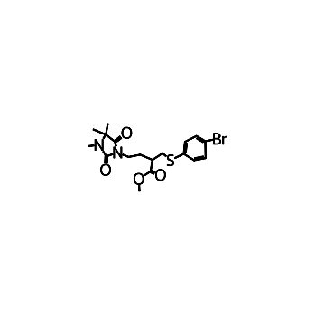 COC(=O)C(CCN1C(=O)N(C)C(C)(C)C1=O)CSc1ccc(Br)cc1